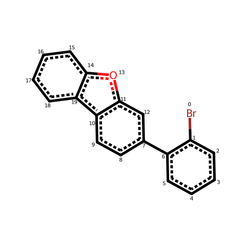 Brc1ccccc1-c1ccc2c(c1)oc1ccccc12